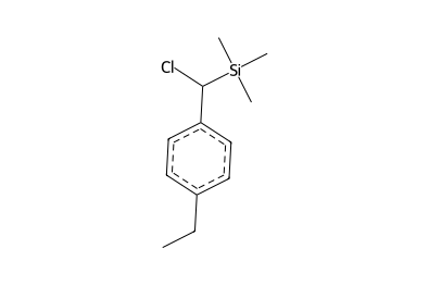 CCc1ccc(C(Cl)[Si](C)(C)C)cc1